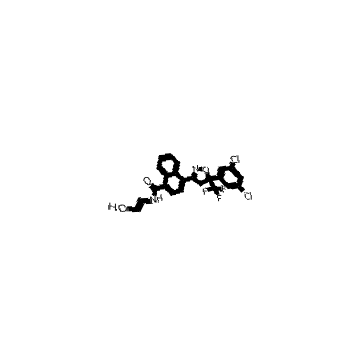 O=C(NCCO)c1ccc(C2=NOC(c3cc(Cl)cc(Cl)c3)(C(F)(F)F)C2)c2ccccc12